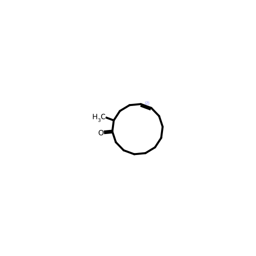 CC1CC/C=C\CCCCCCCCC1=O